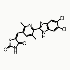 Cc1cc(/C=C2/SC(=O)NC2=O)c(C)nc1-c1nc2cc(Cl)c(Cl)cc2[nH]1